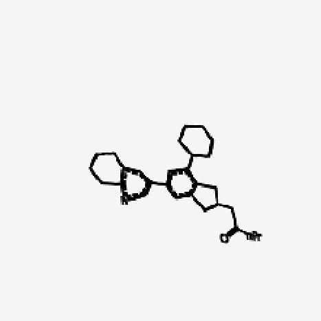 CCCC(=O)CC1Cc2cc(-c3cnc4c(c3)CCCC4)cc(C3CCCCC3)c2C1